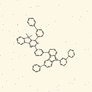 C[Si]1(C)c2ccccc2-c2nc(-c3cccc(-c4cccc5c4c4cc(-c6ccccc6)ccc4n5-c4cccc(-c5ccccc5)c4)c3)nc(-c3cccc(-c4ccccc4)c3)c21